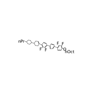 CCCCCCCCOc1ccc(-c2ccc(-c3ccc(C4=CCC(C5CCC(CCC)CC5)CC4)c(F)c3F)cc2)c(F)c1F